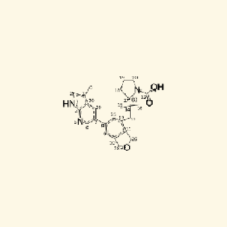 Cc1c[nH]c2ncc(-c3cc4c(c(CC(C)(C)[C@@H]5CCCN5C(=O)O)c3)COC4)cc12